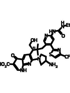 CCNC(=O)Nc1cc(-c2nc(C(F)(F)F)cs2)c(CC(C)(C)[C@H](CO)c2cc3c(=O)c(C(=O)O)c[nH]c3nc2N2CCC(N)C2)cn1